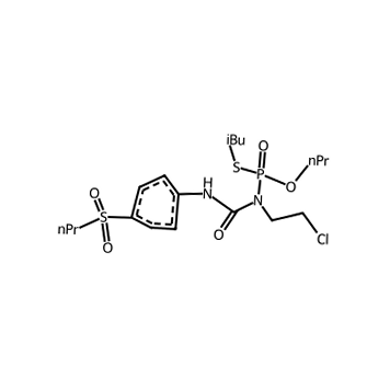 CCCOP(=O)(SC(C)CC)N(CCCl)C(=O)Nc1ccc(S(=O)(=O)CCC)cc1